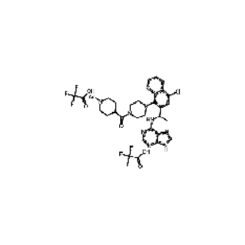 CC(=O)N1CCC(C(=O)N2CCN(c3c(C(C)Nc4ncnc5[nH]cnc45)cc(Cl)c4cccnc34)CC2)CC1.O=C(O)C(F)(F)F.O=C(O)C(F)(F)F